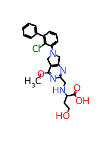 COc1nc(CNC(CCO)C(=O)O)nc2c1CN(c1cccc(-c3ccccc3)c1Cl)C2